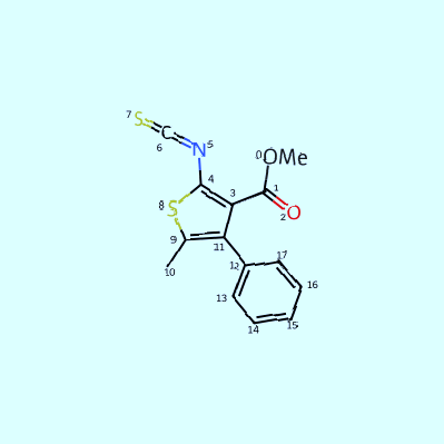 COC(=O)c1c(N=C=S)sc(C)c1-c1ccccc1